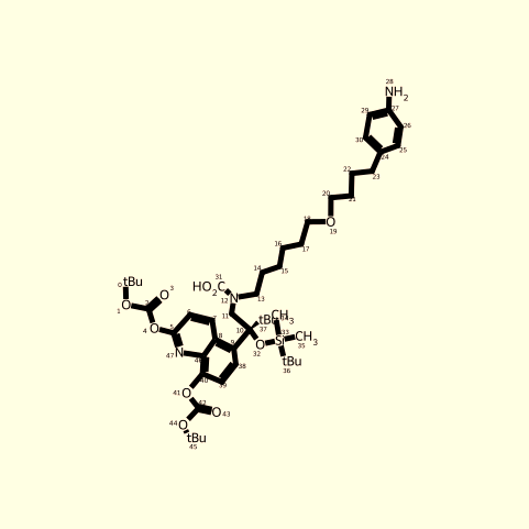 CC(C)(C)OC(=O)Oc1ccc2c([C@](CN(CCCCCCOCCCCc3ccc(N)cc3)C(=O)O)(O[Si](C)(C)C(C)(C)C)C(C)(C)C)ccc(OC(=O)OC(C)(C)C)c2n1